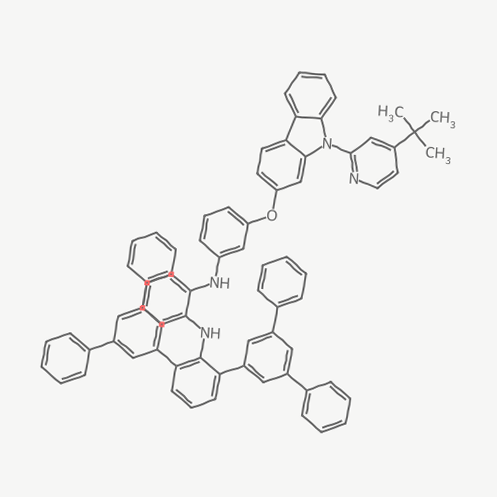 CC(C)(C)c1ccnc(-n2c3ccccc3c3ccc(Oc4cccc(Nc5ccccc5Nc5c(-c6cc(-c7ccccc7)cc(-c7ccccc7)c6)cccc5-c5cc(-c6ccccc6)cc(-c6ccccc6)c5)c4)cc32)c1